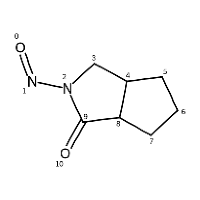 O=NN1CC2CCCC2C1=O